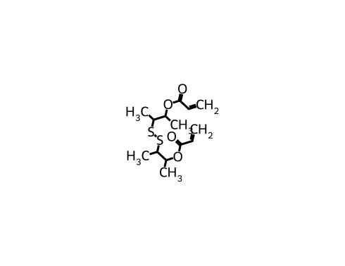 C=CC(=O)OC(C)C(C)SSC(C)C(C)OC(=O)C=C